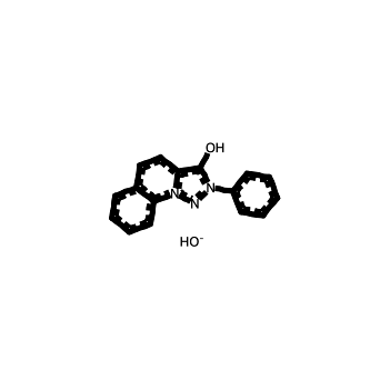 Oc1c2ccc3ccccc3[n+]2nn1-c1ccccc1.[OH-]